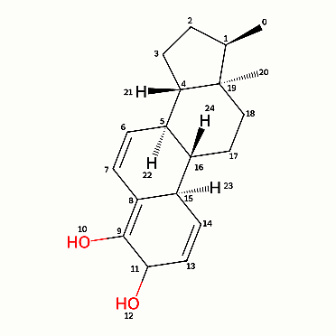 C[C@@H]1CC[C@H]2[C@@H]3C=CC4=C(O)C(O)C=C[C@@H]4[C@H]3CC[C@]12C